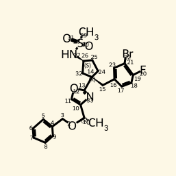 C[C@H](OCc1ccccc1)c1coc([C@@]2(Cc3ccc(F)c(Br)c3)CC[C@H](NS(C)(=O)=O)C2)n1